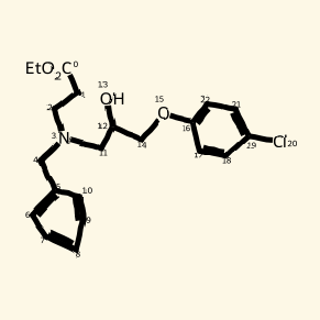 CCOC(=O)CCN(Cc1ccccc1)CC(O)COc1ccc(Cl)cc1